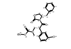 CN(C[C@H](C(=O)N1C(=O)OC[C@@H]1Cc1ccccc1)c1cccc(Cl)c1)C(=O)OC(C)(C)C